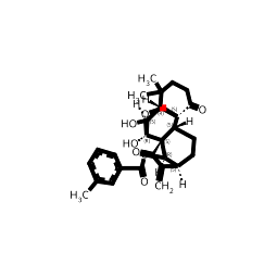 C=C1C(=O)[C@]23[C@H](OC(=O)c4cccc(C)c4)[C@H]1CC[C@H]2[C@@]12CO[C@@]3(O)[C@@H](O)[C@@H]1C(C)(C)CCC2=O